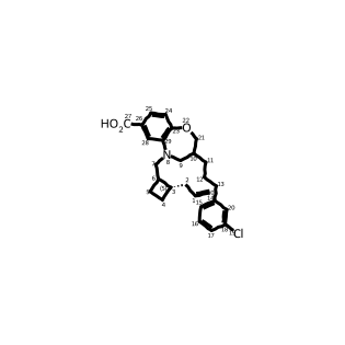 C=CC[C@@H]1CCC1CN1CC(CCCc2cccc(Cl)c2)COc2ccc(C(=O)O)cc21